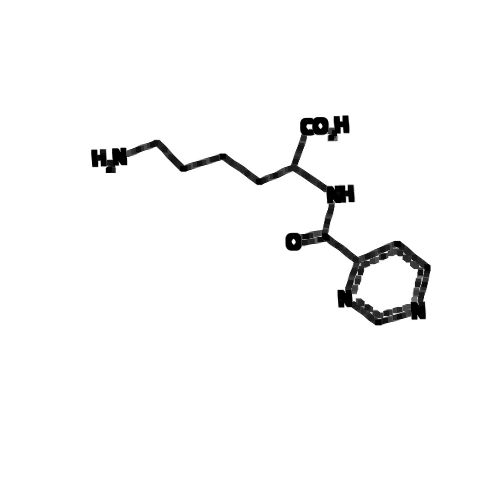 NCCCCC(NC(=O)c1ccncn1)C(=O)O